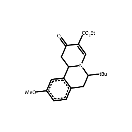 CCOC(=O)C1=CN2C(CC1=O)c1cc(OC)ccc1CC2C(C)(C)C